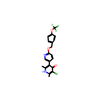 Cc1[nH]c(C)c(-c2ccc(OCc3ccc(OC(F)(F)F)cc3)nc2)c(=O)c1Br